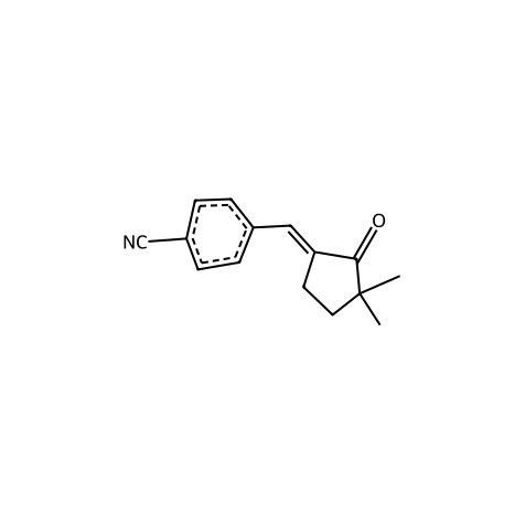 CC1(C)CC/C(=C\c2ccc(C#N)cc2)C1=O